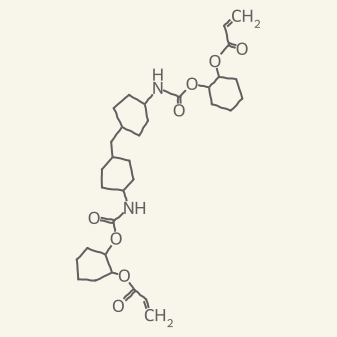 C=CC(=O)OC1CCCCC1OC(=O)NC1CCC(CC2CCC(NC(=O)OC3CCCCC3OC(=O)C=C)CC2)CC1